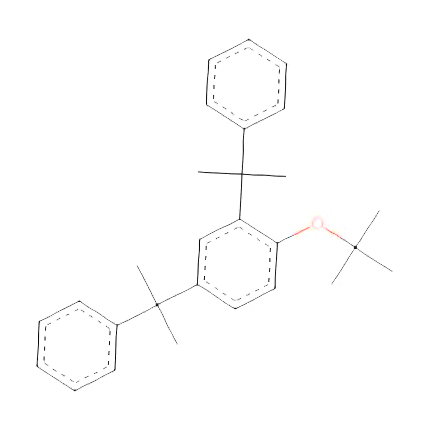 CC(C)(C)Oc1ccc(C(C)(C)c2ccccc2)cc1C(C)(C)c1ccccc1